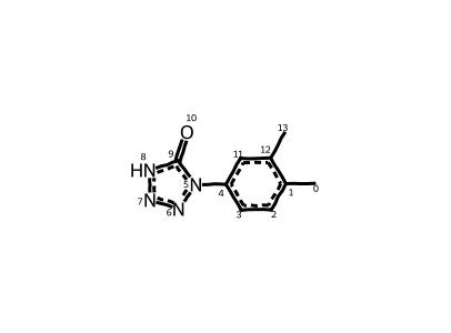 Cc1ccc(-n2nn[nH]c2=O)cc1C